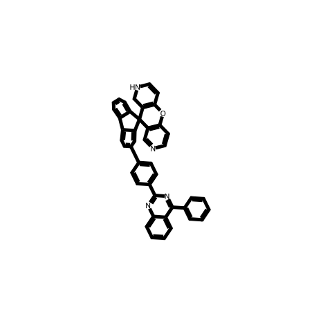 C1=CC2=C(CN1)C1(c3cnccc3O2)c2ccccc2-c2ccc(-c3ccc(-c4nc(-c5ccccc5)c5ccccc5n4)cc3)cc21